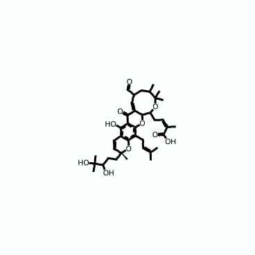 CC(C)=CCc1c2c(c(O)c3c1OC1/C(=C\C(C=O)CC(C)C(C)(C)OC1C/C=C(/C)C(=O)O)C3=O)C=C[C@@](C)(CCC(O)C(C)(C)O)O2